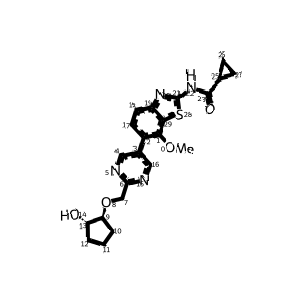 COc1c(-c2cnc(CO[C@H]3CCC[C@@H]3O)nc2)ccc2nc(NC(=O)C3CC3)sc12